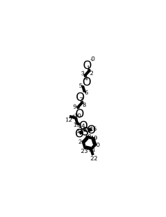 COCCOCCOCCOC(C)COS(=O)(=O)c1ccc(C)cc1